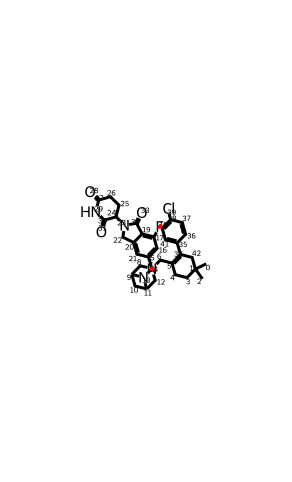 CC1(C)CCC(CN2CC3CC(C2)N3Cc2cc(F)c3c(c2)CN(C2CCC(=O)NC2=O)C3=O)=C(c2ccc(Cl)cc2)C1